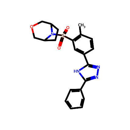 Cc1ccc(-c2nnc(-c3ccccc3)[nH]2)cc1S(=O)(=O)N1C2CCC1COC2